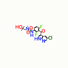 CN(CC(C)(C)O)S(=O)(=O)Nc1ccc(F)c(C(=O)c2c[nH]c3ncc(Cl)cc23)c1F